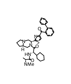 CN[C@@H](C)C(=O)N[C@H](C(=O)N1C[C@H]2CCCN2C[C@H]1c1nc(C(=O)c2ccccc2-c2ccccc2)cs1)C1CCCCC1